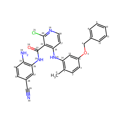 Cc1ccc(OCc2ccccc2)cc1Nc1ccnc(Cl)c1C(=O)Nc1cc(C#N)ccc1N